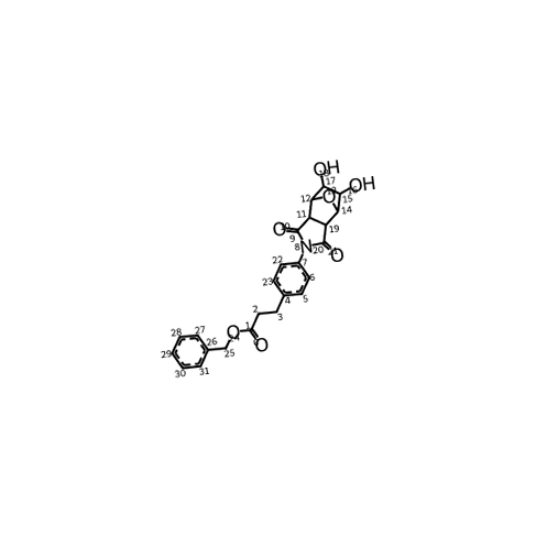 O=C(CCc1ccc(N2C(=O)C3C4OC(C(O)C4O)C3C2=O)cc1)OCc1ccccc1